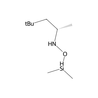 C[C@@H](CC(C)(C)C)NO[SiH](C)C